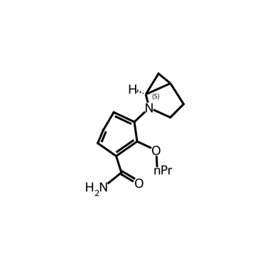 CCCOc1c(C(N)=O)cccc1N1CCC2C[C@@H]21